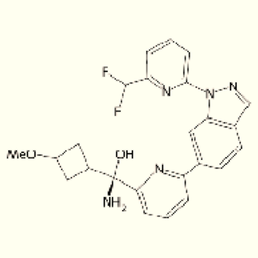 COC1CC([C@](N)(O)c2cccc(-c3ccc4cnn(-c5cccc(C(F)F)n5)c4c3)n2)C1